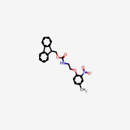 [CH2]c1ccc(OCCNC(=O)OCC2c3ccccc3-c3ccccc32)c([N+](=O)[O-])c1